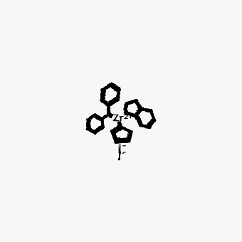 C1=CC[C]([Zr+2](=[C](c2ccccc2)c2ccccc2)[CH]2CCC3CC=CC=C32)=C1.[I-].[I-]